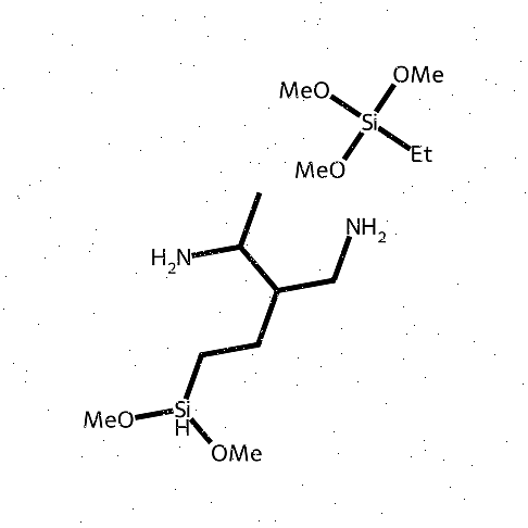 CC[Si](OC)(OC)OC.CO[SiH](CCC(CN)C(C)N)OC